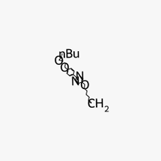 C=CCCCCOc1cnc(-c2ccc(OC[C@@H]3O[C@H]3CCCC)cc2)nc1